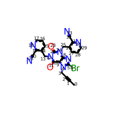 CC#CCn1c(Br)nc2c1c(=O)n(Cc1cccnc1C#N)c(=O)n2Cc1cccnc1C#N